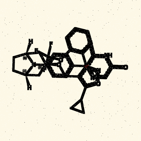 O=c1cnn(-c2ccc(N3[C@@H]4CC[C@H]3C[C@@H](OCc3c(-c5ccccc5OC(F)(F)F)noc3C3CC3)C4)cc2)c(=O)[nH]1